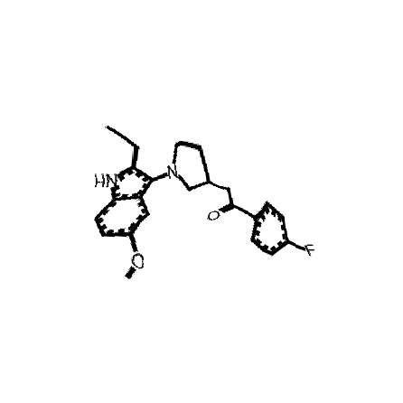 CCc1[nH]c2ccc(OC)cc2c1N1CCC(CC(=O)c2ccc(F)cc2)C1